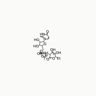 C=C1NC(=O)C=CN1C1OC(COP(C)(=O)OP(C)(=O)O[C@@H]2OC(CC)[C@H](O)[C@H](O)C2NC(C)=O)C(O)C1O